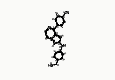 N#Cc1ccc(-c2nccn3nc(Nc4ccc(CO)cc4)nc23)cn1